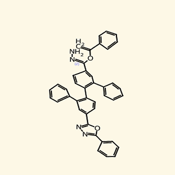 C=C(O/C(=N\N)c1ccc(-c2ccc(-c3nnc(-c4ccccc4)o3)cc2-c2ccccc2)c(-c2ccccc2)c1)c1ccccc1